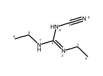 CC/N=C(\NC#N)NCC